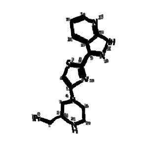 CC(C)C[C@H]1CN(c2csc(-c3n[nH]c4ncccc34)n2)CCN1